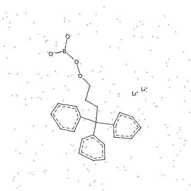 [Li+].[Li+].[O-]B([O-])OOCCCC(c1ccccc1)(c1ccccc1)c1ccccc1